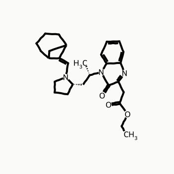 CCOC(=O)Cc1nc2ccccc2n([C@@H](C)C[C@@H]2CCCN2C=C2C3CCCCC2C3)c1=O